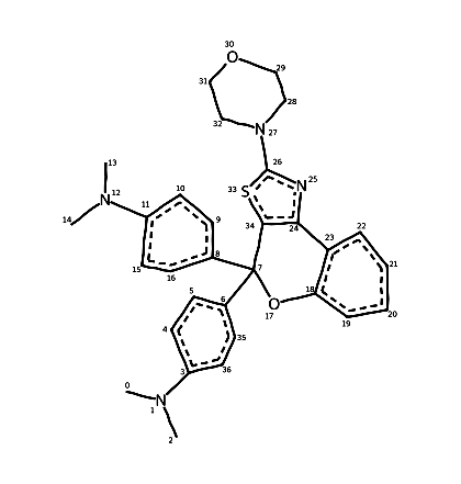 CN(C)c1ccc(C2(c3ccc(N(C)C)cc3)Oc3ccccc3-c3nc(N4CCOCC4)sc32)cc1